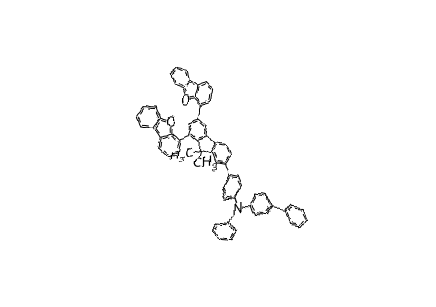 CC1(C)c2cc(-c3ccc(N(c4ccccc4)c4ccc(-c5ccccc5)cc4)cc3)ccc2-c2cc(-c3cccc4c3oc3ccccc34)cc(-c3cccc4c3oc3ccccc34)c21